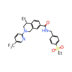 CC[C@@H]1CN(c2ccc(C(F)(F)F)cn2)Cc2cc(C(=O)NCc3ccc(S(=O)(=O)CC)cc3)ccc21